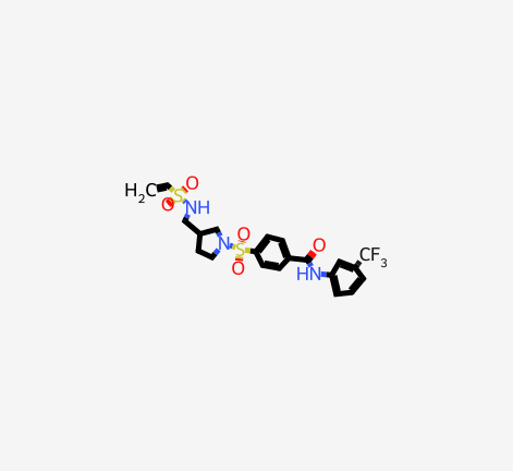 C=CS(=O)(=O)NCC1CCN(S(=O)(=O)c2ccc(C(=O)Nc3cccc(C(F)(F)F)c3)cc2)C1